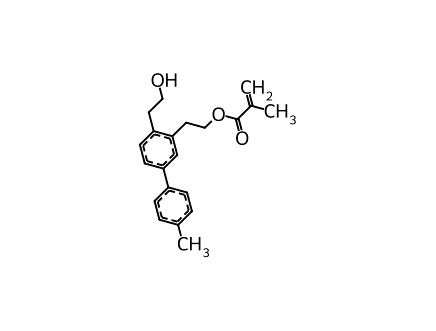 C=C(C)C(=O)OCCc1cc(-c2ccc(C)cc2)ccc1CCO